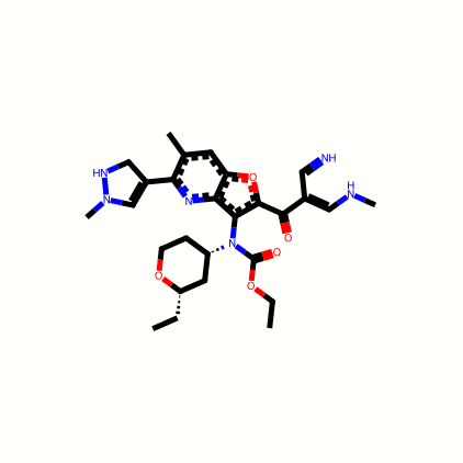 CCOC(=O)N(c1c(C(=O)/C(C=N)=C/NC)oc2cc(C)c(C3=CN(C)NC3)nc12)[C@H]1CCO[C@@H](CC)C1